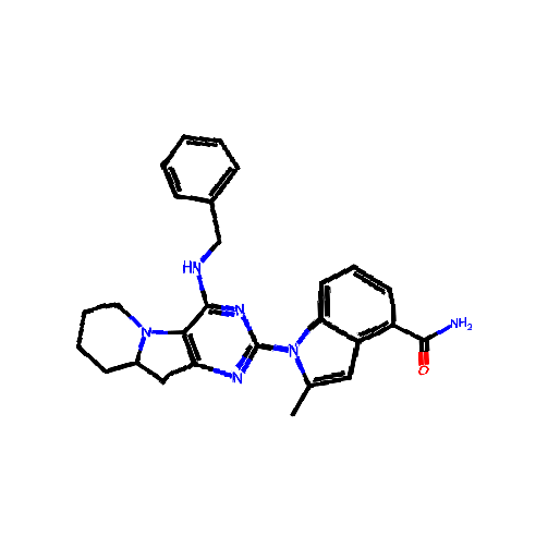 Cc1cc2c(C(N)=O)cccc2n1-c1nc2c(c(NCc3ccccc3)n1)N1CCCCC1C2